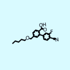 CCCCCOCc1ccc(C(=O)O)c(-c2ccc(C#N)c(F)c2)c1